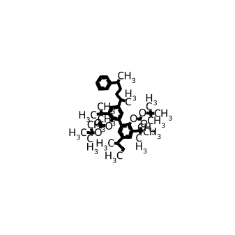 CCC(C)c1cc(-c2cc(C(C)CCC(C)c3ccccc3)cc(C(C)(C)C)c2OC(=O)OC(C)(C)C)c(OC(=O)OC(C)(C)C)c(C(C)(C)C)c1